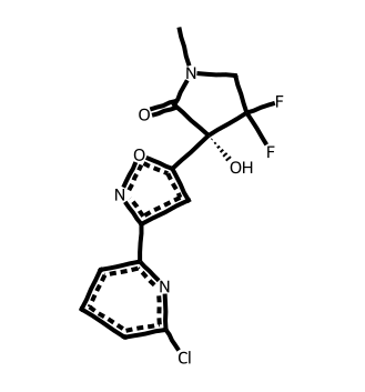 CN1CC(F)(F)[C@@](O)(c2cc(-c3cccc(Cl)n3)no2)C1=O